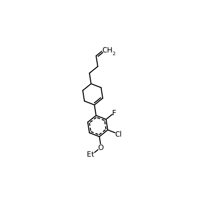 C=CCCC1CC=C(c2ccc(OCC)c(Cl)c2F)CC1